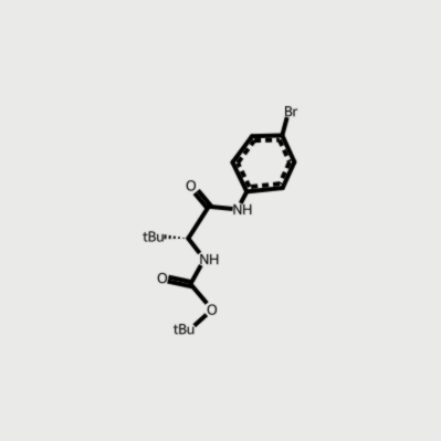 CC(C)(C)OC(=O)N[C@@H](C(=O)Nc1ccc(Br)cc1)C(C)(C)C